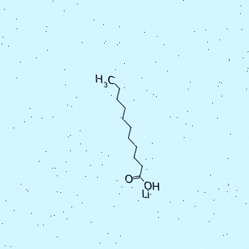 CCCCCCCCCCC(=O)O.[Li]